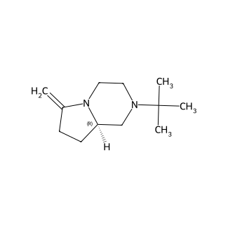 C=C1CC[C@@H]2CN(C(C)(C)C)CCN12